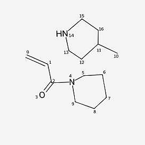 C=CC(=O)N1CCCCC1.CC1CCNCC1